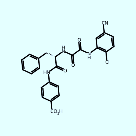 N#Cc1ccc(Cl)c(NC(=O)C(=O)N[C@@H](Cc2ccccc2)C(=O)Nc2ccc(C(=O)O)cc2)c1